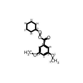 COc1cc(OC)cc(C(=O)OO[C]2CCCCC2)c1